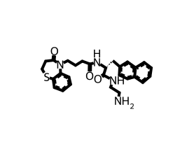 NCCNC(=O)[C@@H](Cc1ccc2ccccc2c1)NC(=O)CCCN1C(=O)CCSc2ccccc21